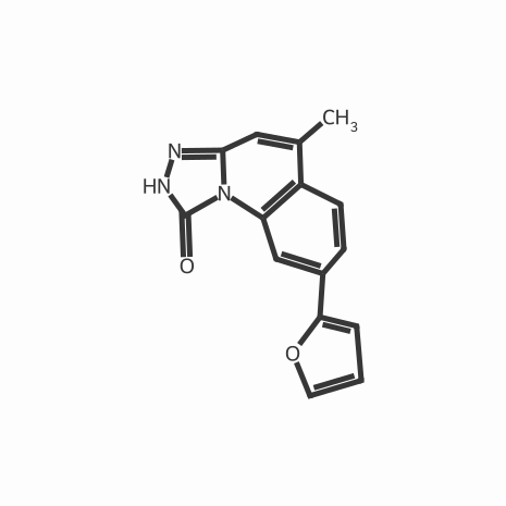 Cc1cc2n[nH]c(=O)n2c2cc(-c3ccco3)ccc12